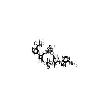 NC(=O)c1cc([C@@H]2C[C@@H]3CO[PH](=O)O[C@H]4[C@@H](F)[C@H](n5cnc6c(N)ncnc65)O[C@@H]4COP(=O)(SS)OC[C@H]32)ccn1